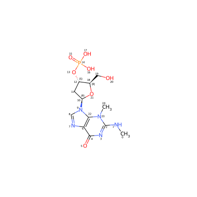 CNc1nc(=O)c2ncn([C@H]3C[C@H](OP(=O)(O)O)[C@@H](CO)O3)c2n1C